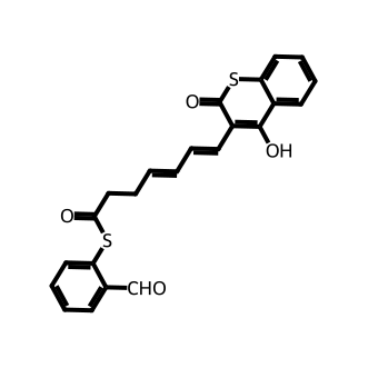 O=Cc1ccccc1SC(=O)CCC=CC=Cc1c(O)c2ccccc2sc1=O